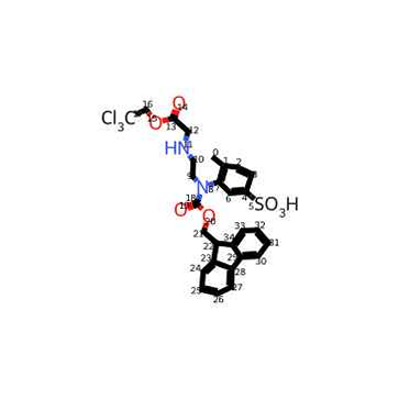 Cc1ccc(S(=O)(=O)O)cc1N(CCNCC(=O)OCC(Cl)(Cl)Cl)C(=O)OCC1c2ccccc2-c2ccccc21